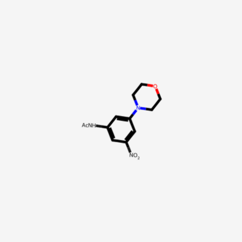 CC(=O)Nc1cc(N2CCOCC2)cc([N+](=O)[O-])c1